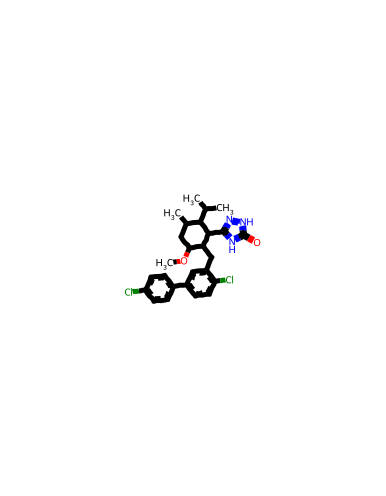 COC1CC(C)C(C(C)C)C(c2n[nH]c(=O)[nH]2)C1Cc1cc(-c2ccc(Cl)cc2)ccc1Cl